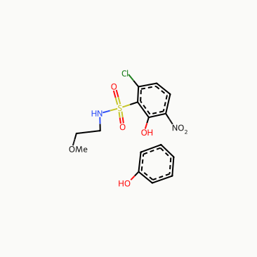 COCCNS(=O)(=O)c1c(Cl)ccc([N+](=O)[O-])c1O.Oc1ccccc1